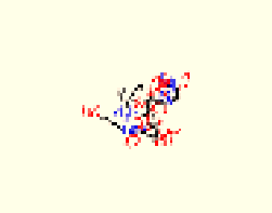 CO[C@@H]1C([C@@H](O[C@H]2OC(C(=O)NCCCCCO)=C[C@H](O)[C@@H]2O)C(N)=O)O[C@@H](n2ccc(=O)[nH]c2=O)[C@@H]1O